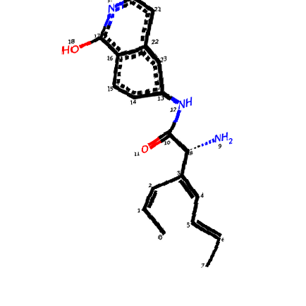 C\C=C/C(=C\C=C\C)[C@@H](N)C(=O)Nc1ccc2c(O)nccc2c1